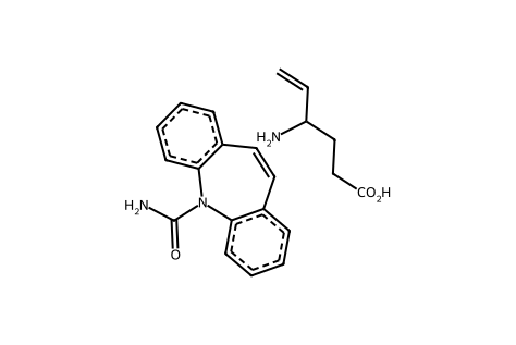 C=CC(N)CCC(=O)O.NC(=O)N1c2ccccc2C=Cc2ccccc21